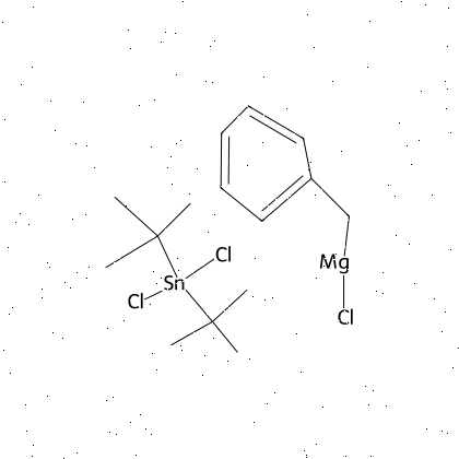 C[C](C)(C)[Sn]([Cl])([Cl])[C](C)(C)C.[Cl][Mg][CH2]c1ccccc1